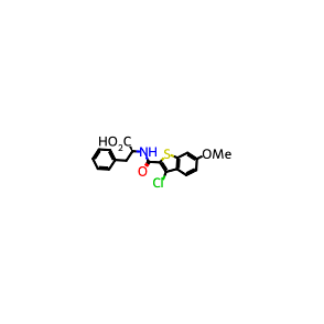 COc1ccc2c(Cl)c(C(=O)N[C@@H](Cc3ccccc3)C(=O)O)sc2c1